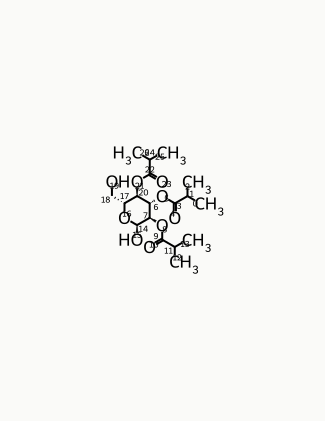 CC(C)C(=O)O[C@@H]1[C@@H](OC(=O)C(C)C)[C@@H](O)O[C@H](CO)[C@H]1OC(=O)C(C)C